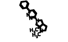 CN1CCC2CN(c3ccc(-c4ccccc4)nn3)CC21C